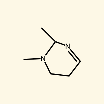 CC1N=CCCN1C